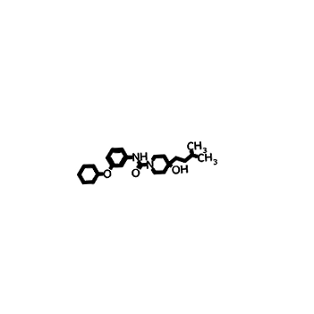 CC(C)CCC1(O)CCN(C(=O)Nc2cccc(OC3CCCCC3)c2)CC1